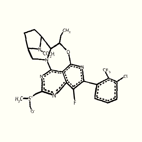 CC1Oc2nc(-c3cccc(Cl)c3C(F)(F)F)c(F)c3nc([S+](C)[O-])nc(c23)N2CC3CCC(C12)N3C(=O)O